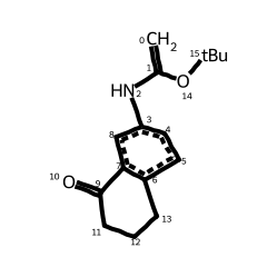 C=C(Nc1ccc2c(c1)C(=O)CCC2)OC(C)(C)C